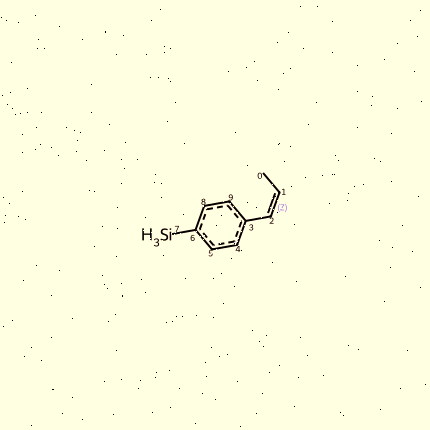 C/C=C\c1ccc([SiH3])cc1